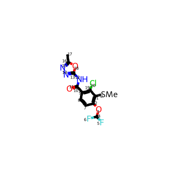 CSc1c(OC(F)F)ccc(C(=O)Nc2nnc(C)o2)c1Cl